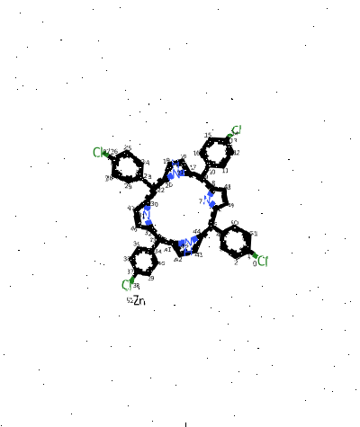 Clc1ccc(-c2c3nc(c(-c4ccc(Cl)cc4)c4ccc([nH]4)c(-c4ccc(Cl)cc4)c4nc(c(-c5ccc(Cl)cc5)c5ccc2[nH]5)C=C4)C=C3)cc1.[Zn]